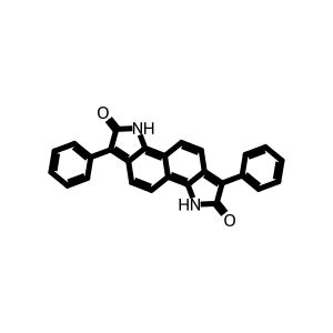 O=C1Nc2c(ccc3c4c(ccc23)=C(c2ccccc2)C(=O)N4)=C1c1ccccc1